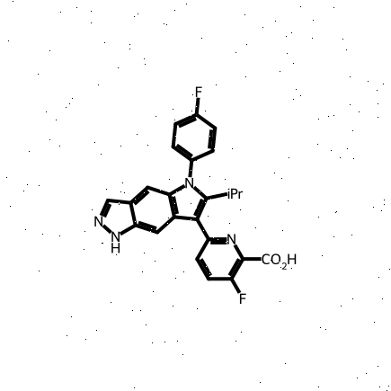 CC(C)c1c(-c2ccc(F)c(C(=O)O)n2)c2cc3[nH]ncc3cc2n1-c1ccc(F)cc1